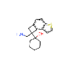 NCC1(C2(O)CCCCC2)Cc2ccc3sccc3c21